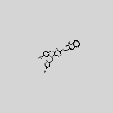 O=C(N[C@@H](Cc1ccc(O)cc1)C(=O)NCC1CC(Br)=NO1)OCC1=Cc2ccccc2S1(=O)=O